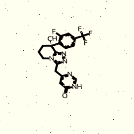 C[C@@]1(c2ccc(C(F)(F)F)cc2F)CCCn2c(Cc3cc(=O)[nH]cn3)nnc21